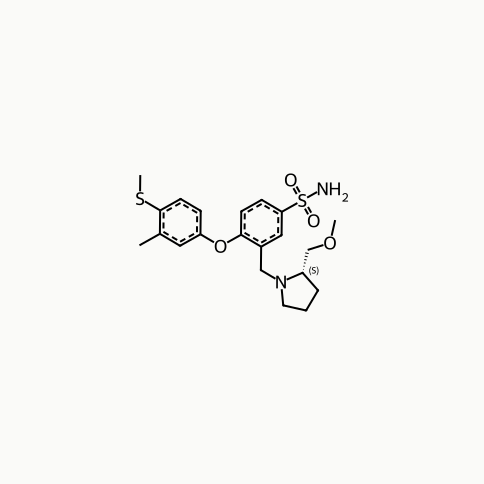 COC[C@@H]1CCCN1Cc1cc(S(N)(=O)=O)ccc1Oc1ccc(SC)c(C)c1